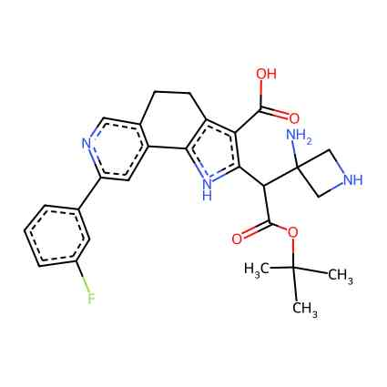 CC(C)(C)OC(=O)C(c1[nH]c2c(c1C(=O)O)CCc1cnc(-c3cccc(F)c3)cc1-2)C1(N)CNC1